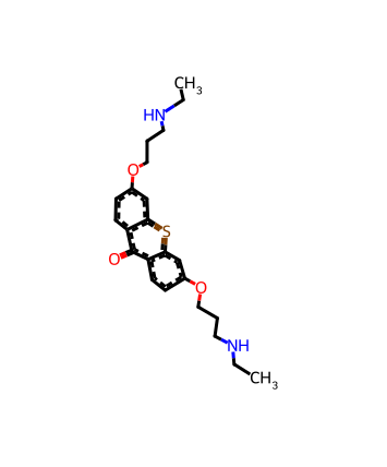 CCNCCCOc1ccc2c(=O)c3ccc(OCCCNCC)cc3sc2c1